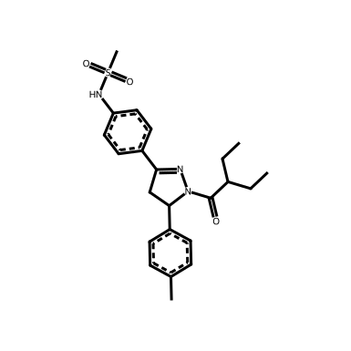 CCC(CC)C(=O)N1N=C(c2ccc(NS(C)(=O)=O)cc2)CC1c1ccc(C)cc1